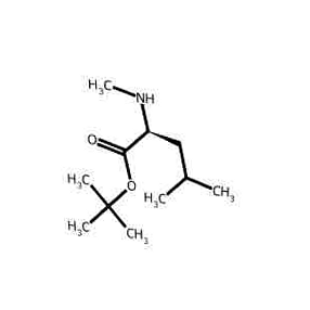 CN[C@@H](CC(C)C)C(=O)OC(C)(C)C